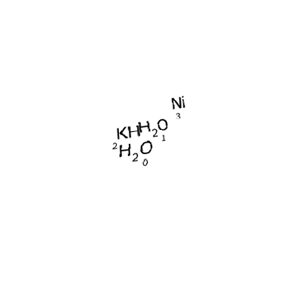 O.O.[KH].[Ni]